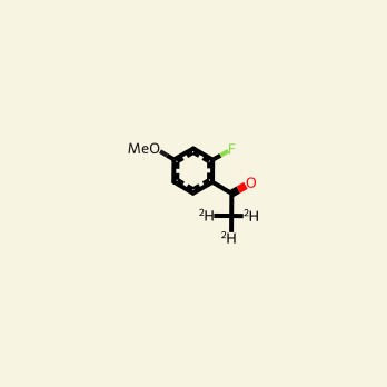 [2H]C([2H])([2H])C(=O)c1ccc(OC)cc1F